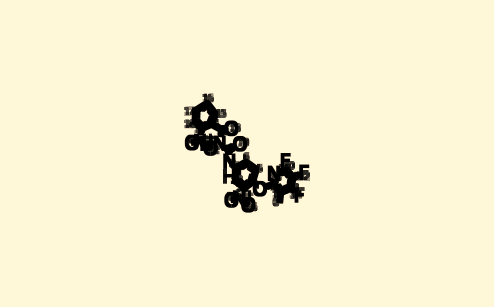 Cc1c(Oc2ccc(NC(=O)NC(=O)c3ccccc3[N+](=O)[O-])cc2[N+](=O)[O-])nc(F)c(F)c1F